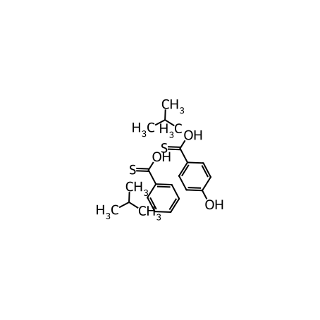 CC(C)C.CC(C)C.OC(=S)c1ccc(O)cc1.OC(=S)c1ccccc1